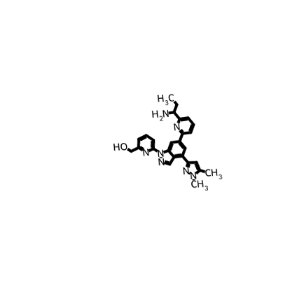 CCC(N)c1cccc(-c2cc(-c3cc(C)n(C)n3)c3cnn(-c4cccc(CO)n4)c3c2)n1